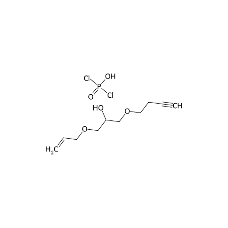 C#CCCOCC(O)COCC=C.O=P(O)(Cl)Cl